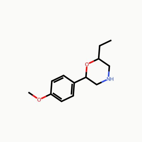 CCC1CNCC(c2ccc(OC)cc2)O1